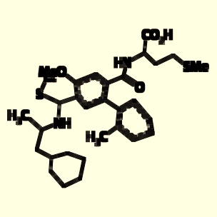 CCSC(NC(C)CC1CCCCC1)c1cc(-c2ccccc2C)c(C(=O)NC(CCSC)C(=O)O)cc1OC